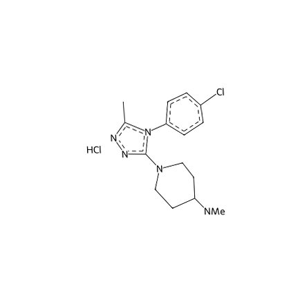 CNC1CCN(c2nnc(C)n2-c2ccc(Cl)cc2)CC1.Cl